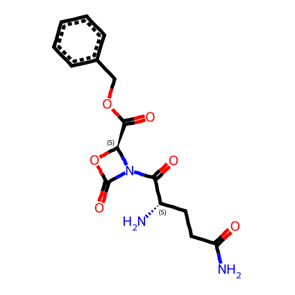 NC(=O)CC[C@H](N)C(=O)N1C(=O)O[C@H]1C(=O)OCc1ccccc1